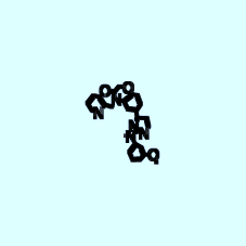 COc1cccc(N(C)c2nccc(-c3ccc4c(c3)N(Cc3ccccn3)C(=O)CO4)n2)c1